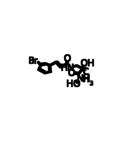 C[C@@](O)(CNC(=O)C=Cc1cccc(Br)c1)C(=O)NO